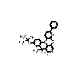 CC(C)(C)Oc1ccc2c(n1)C(C)(C)c1cncc3c1B2c1ccc(-c2ccccc2)nc1O3